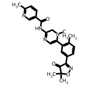 Cc1ccc(C(=O)NC2=NC=C(c3cc(C4=NOC(C)(C)C4=O)ccc3C)N(C)C2)cn1